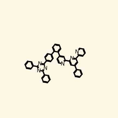 c1ccc(-c2cc(-c3ccccn3)nc(-c3cc(-c4ccccc4-c4ccc(-c5nc(-c6ccccc6)nc(-c6ccccc6)n5)cc4)ccn3)c2)cc1